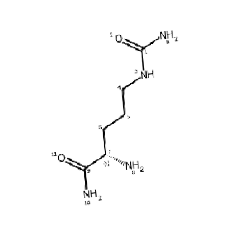 NC(=O)NCCC[C@H](N)C(N)=O